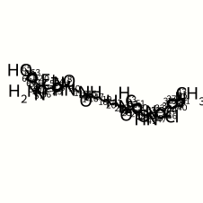 CCc1c(-c2ccc(C(=O)NCCNC(=O)CCCCCCCCNC(=O)c3cc(Oc4nc5cc(-c6ccc7c(ccn7C)c6)c(Cl)cc5[nH]4)ccc3C)nc2)cnc(N)c1-c1ccc(O)cc1